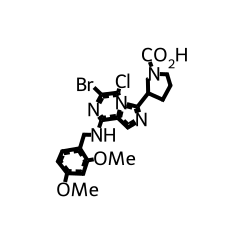 COc1ccc(CNc2nc(Br)c(Cl)n3c(C4CCCN(C(=O)O)C4)ncc23)c(OC)c1